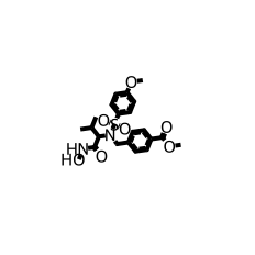 COC(=O)c1ccc(CN(C(C(=O)NO)C(C)C)S(=O)(=O)c2ccc(OC)cc2)cc1